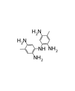 Cc1cc(N)c(Nc2cc(N)c(C)cc2N)cc1N